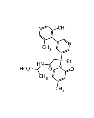 CC[C@](CC(=O)NC(C)C(=O)O)(c1cncc(-c2c(C)cncc2C)c1)n1ccc(C)cc1=O